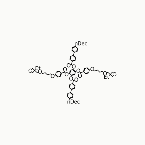 CCCCCCCCCCc1ccc(-c2ccc(C(=O)Oc3cc(OC(=O)c4ccc(OCCCCOCC5(CC)COC5)cc4)c(OC(=O)c4ccc(-c5ccc(CCCCCCCCCC)cc5)cc4)cc3OC(=O)c3ccc(OCCCCOCC4(CC)COC4)cc3)cc2)cc1